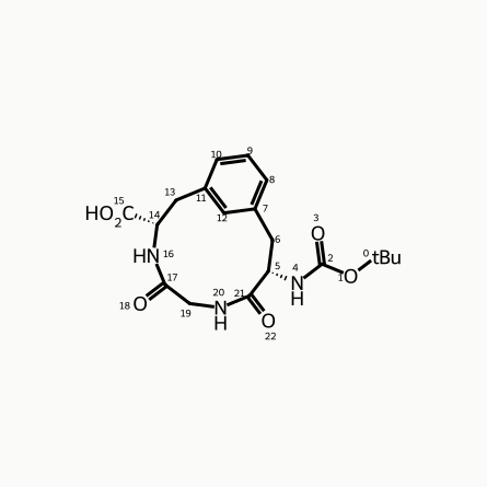 CC(C)(C)OC(=O)N[C@H]1Cc2cccc(c2)C[C@@H](C(=O)O)NC(=O)CNC1=O